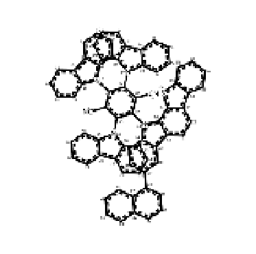 N#Cc1c(-n2c3ccccc3c3ccccc32)c(-n2c3ccccc3c3ccccc32)c(C#N)c(-n2c3ccc(-c4cccc5ccccc45)cc3c3ccc4c5ccccc5sc4c32)c1-n1c2ccccc2c2ccccc21